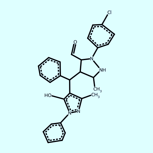 Cc1nn(-c2ccccc2)c(O)c1C(c1ccccc1)C1C(C)NN(c2ccc(Cl)cc2)C1C=O